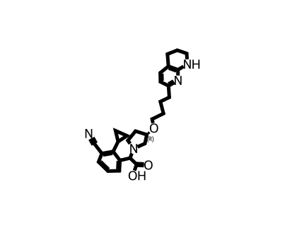 N#Cc1cccc(C(C(=O)O)N2CC[C@@H](OCCCCc3ccc4c(n3)NCCC4)C2)c1C1CC1